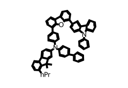 CCCc1cccc2c1C(C)(C)c1cc(N(c3ccc(-c4ccccc4)cc3)c3ccc(-c4cccc5c4oc4c(-c6ccc7c(c6)c6ccccc6n7-c6ccccc6)cccc45)cc3)ccc1-2